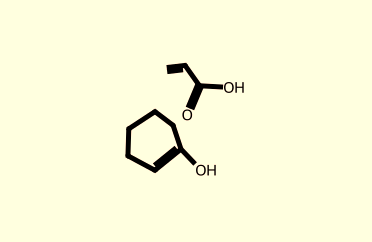 C=CC(=O)O.OC1=CCCCC1